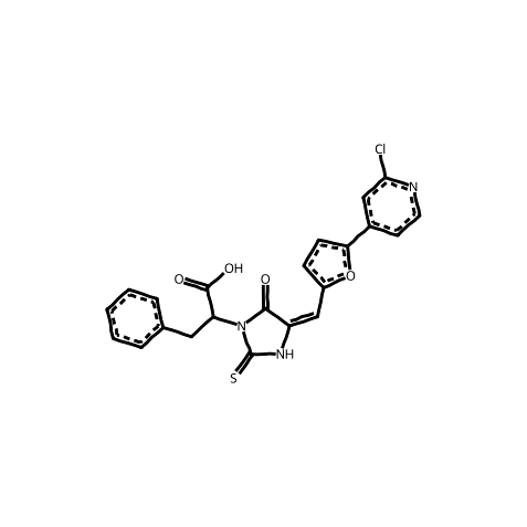 O=C(O)C(Cc1ccccc1)N1C(=O)/C(=C\c2ccc(-c3ccnc(Cl)c3)o2)NC1=S